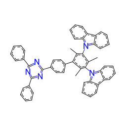 Cc1c(-c2ccc(-c3nc(-c4ccccc4)nc(-c4ccccc4)n3)cc2)c(C)c(-n2c3ccccc3c3ccccc32)c(C)c1-n1c2ccccc2c2ccccc21